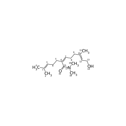 CC(C)=CCCC(=CCCC(C)=CCO)C(=O)N(C)C